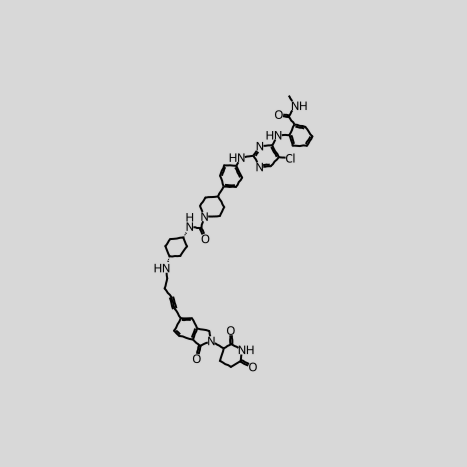 CNC(=O)c1ccccc1Nc1nc(Nc2ccc(C3CCN(C(=O)N[C@H]4CC[C@@H](NCCC#Cc5ccc6c(c5)CN(C5CCC(=O)NC5=O)C6=O)CC4)CC3)cc2)ncc1Cl